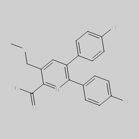 COCc1cc(-c2ccc(Cl)cc2)c(-c2ccc(Cl)cc2)nc1C(=O)S